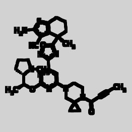 CC#CC(=O)N1CCN(c2cc(-c3noc([C@@]4(C)CCCc5sc(N)c(C#N)c54)n3)nc(O[C@@H](C)[C@@H]3CCCN3C)n2)CC12CC2